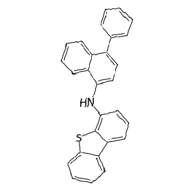 c1ccc(-c2ccc(Nc3cccc4c3sc3ccccc34)c3ccccc23)cc1